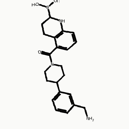 NCc1cccc(C2CCN(C(=O)c3cccc4c3CCC(B(O)O)N4)CC2)c1